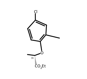 CCOC(=O)[C@H](C)Oc1ccc(Cl)cc1C